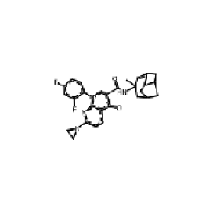 CC1(NC(=O)c2cn(-c3ccc(F)cc3F)c3nc(N4CC4)ccc3c2=O)C=C2CC3CC(CC23)C1